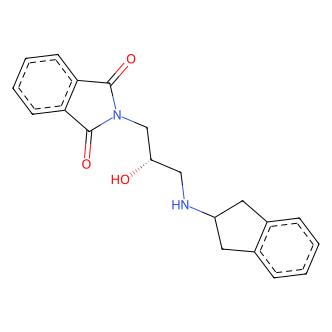 O=C1c2ccccc2C(=O)N1C[C@@H](O)CNC1Cc2ccccc2C1